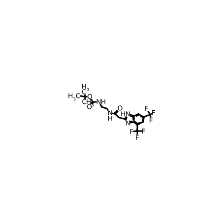 CC(C)(C)OC(=O)NCCNC(=O)Cc1nc2c(C(F)(F)F)cc(C(F)(F)F)cc2[nH]1